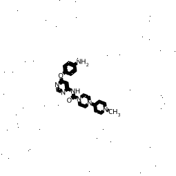 CN1CCC(N2CCN(C(=O)Nc3cc(Oc4ccc(N)cc4)ncn3)CC2)CC1